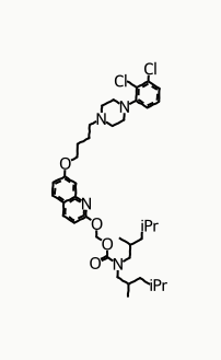 CC(C)CC(C)CN(CC(C)CC(C)C)C(=O)OCOc1ccc2ccc(OCCCCN3CCN(c4cccc(Cl)c4Cl)CC3)cc2n1